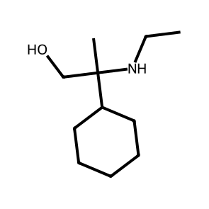 CCNC(C)(CO)C1CCCCC1